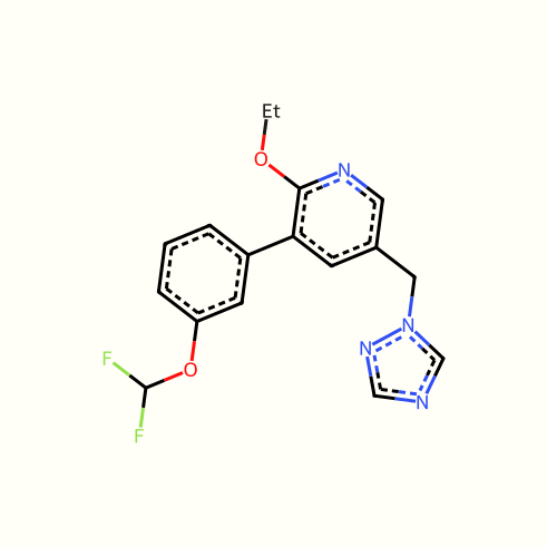 CCOc1ncc(Cn2cncn2)cc1-c1cccc(OC(F)F)c1